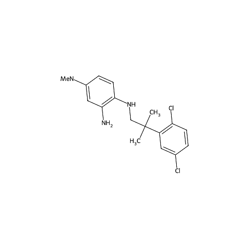 CNc1ccc(NCC(C)(C)c2cc(Cl)ccc2Cl)c(N)c1